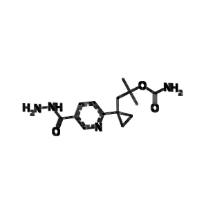 CC(C)(CC1(c2ccc(C(=O)NN)cn2)CC1)OC(N)=O